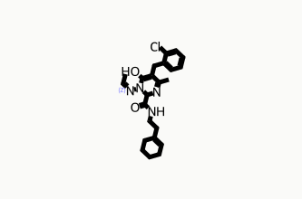 C/C=N\N1C(O)=C(Cc2ccccc2Cl)C(C)=NC1C(=O)NCCC1=CCCCC1